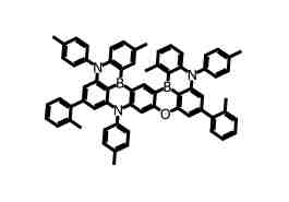 Cc1ccc(N2c3cccc(C)c3B3c4cc5c(cc4Oc4cc(-c6ccccc6C)cc2c43)N(c2ccc(C)cc2)c2cc(-c3ccccc3C)cc3c2B5c2cc(C)ccc2N3c2ccc(C)cc2)cc1